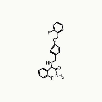 NC(=O)C(NCc1ccc(OCc2ccccc2F)cc1)c1ccccc1F